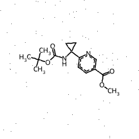 COC(=O)c1ccc(C2(NC(=O)OC(C)(C)C)CC2)nc1